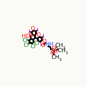 CCO[Si](CCCNC(=O)Oc1c(I)cc2c(-c3c(Cl)c(Cl)c(Cl)c(Cl)c3C(=O)O)c3cc(I)c(=O)c(I)c-3oc2c1I)(OCC)OCC